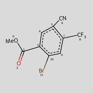 COC(=O)c1cc(C#N)c(C(F)(F)F)cc1Br